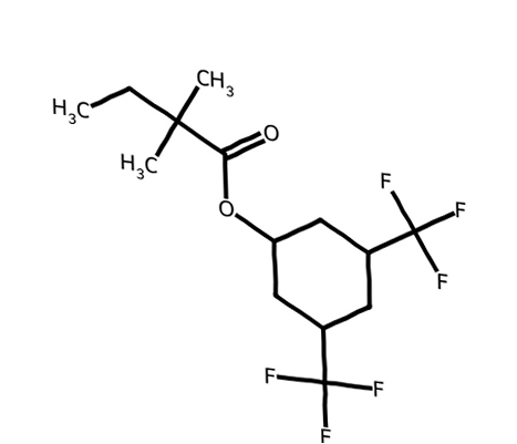 CCC(C)(C)C(=O)OC1CC(C(F)(F)F)CC(C(F)(F)F)C1